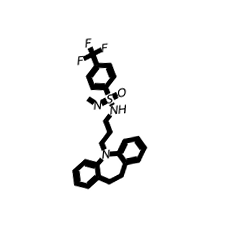 CN=S(=O)(NCCCN1c2ccccc2CCc2ccccc21)c1ccc(C(F)(F)F)cc1